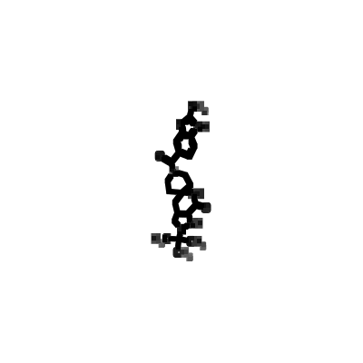 CC(C)(C)N1CC2=C(N1)C(=O)NC1(CCN(C(=O)c3ccc4[nH]c(N)nc4c3)CC1)C2